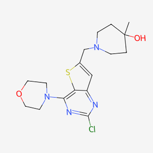 CC1(O)CCN(Cc2cc3nc(Cl)nc(N4CCOCC4)c3s2)CC1